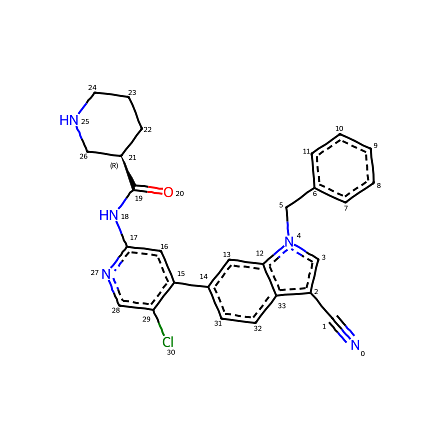 N#Cc1cn(Cc2ccccc2)c2cc(-c3cc(NC(=O)[C@@H]4CCCNC4)ncc3Cl)ccc12